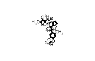 [2H]N(c1onc(C)c1Cl)S(=O)(=O)c1ccsc1C(=O)C([2H])([2H])c1cc2c(cc1C)OC([2H])([2H])O2